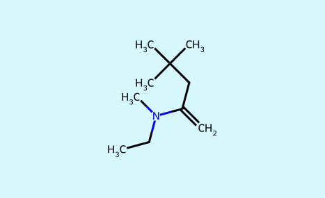 C=C(CC(C)(C)C)N(C)CC